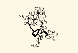 CCOP(=O)(OCC)c1ccc(CC(NC(=O)OC(C)(C)C)C(=O)OC)cc1P(=O)(OCC)OCC